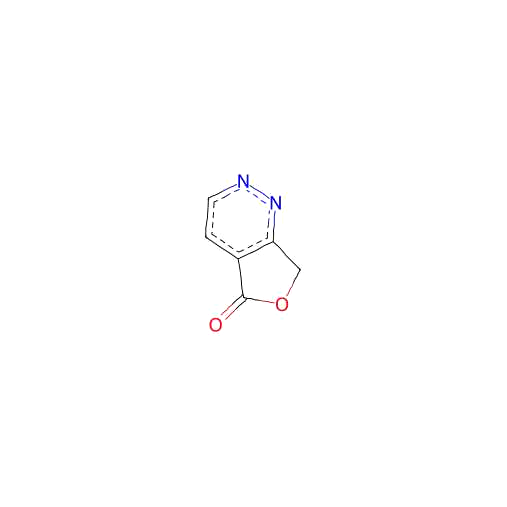 O=C1OCc2nnccc21